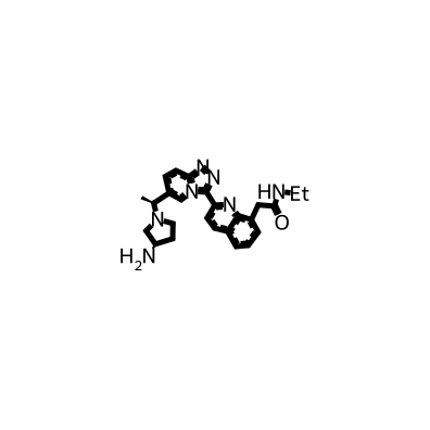 CCNC(=O)Cc1cccc2ccc(-c3nnc4ccc([C@H](C)N5CC[C@H](N)C5)cn34)nc12